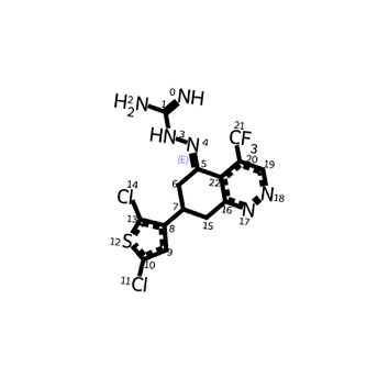 N=C(N)N/N=C1\CC(c2cc(Cl)sc2Cl)Cc2nncc(C(F)(F)F)c21